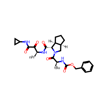 CCC[C@H](NC(=O)[C@@H]1[C@H]2CCC[C@H]2CN1C(=O)[C@@H](NC(=O)OCc1ccccc1)C(C)(C)C)C(=O)C(=O)NC1CC1